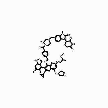 COC(C)COc1cc(O[C@H]2CCNC2)c2cc(C3CC3)c(-c3c(C)c(F)cc4[nH]ncc34)c(OCc3ccc(C(=O)N4CCN(Cc5ccc6c(c5)n(C)c(=O)n6C5CCC(=O)NC5=O)C[C@@H]4C)cc3)c2n1